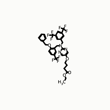 CCOC(=O)CCCOc1cnc(N(Cc2cc(C(F)(F)F)cc(C(F)(F)F)c2)Cc2cc(C(F)(F)F)ccc2OCc2ccccc2)nc1